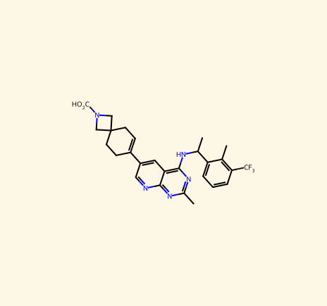 Cc1nc(NC(C)c2cccc(C(F)(F)F)c2C)c2cc(C3=CCC4(CC3)CN(C(=O)O)C4)cnc2n1